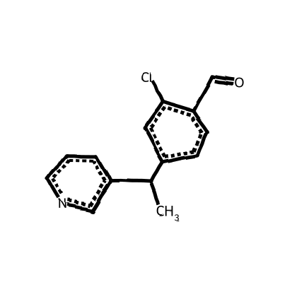 CC(c1cccnc1)c1ccc(C=O)c(Cl)c1